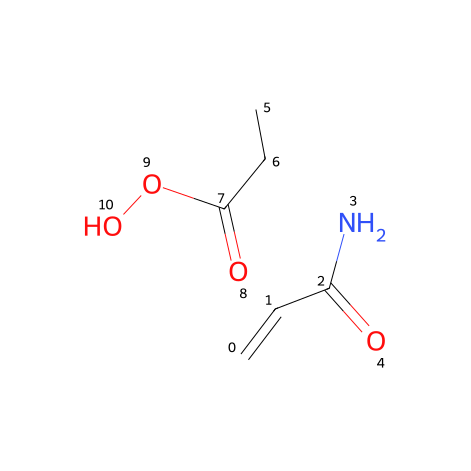 C=CC(N)=O.CCC(=O)OO